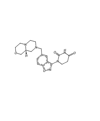 O=C1CCN(c2noc3ccc(CN4CCN5CCOC[C@H]5C4)cc23)C(=O)N1